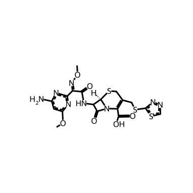 CO/N=C(\C(=O)NC1C(=O)N2C(C(=O)O)=C(CSc3nncs3)CS[C@H]12)c1nc(N)cc(OC)n1